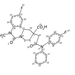 CN(C(=O)N1CCC(CC(=O)N(c2ccccc2)c2ccc(F)cc2)(C(=O)O)CC1)c1ccc(F)cc1